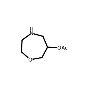 CC(=O)OC1CNCCOC1